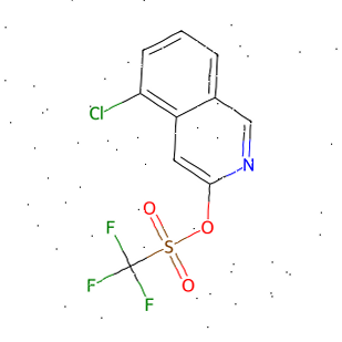 O=S(=O)(Oc1cc2c(Cl)cccc2cn1)C(F)(F)F